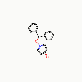 O=c1ccn(OC(c2ccccc2)c2ccccc2)cc1